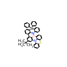 CC(C)(C)c1cc2c3c(c1)N1c4ccccc4Sc4cccc(c41)B3N1c3ccccc3[Si](c3ccccc3)(c3ccccc3)c3cccc-2c31